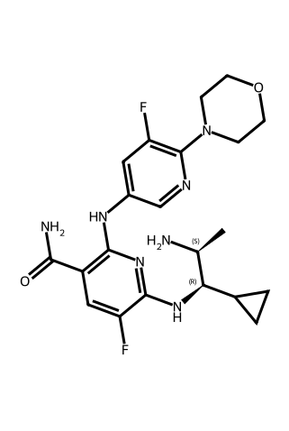 C[C@H](N)[C@H](Nc1nc(Nc2cnc(N3CCOCC3)c(F)c2)c(C(N)=O)cc1F)C1CC1